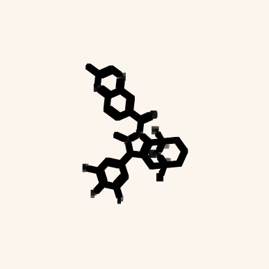 Cc1cnc2cc(C(=O)N3C4=C(C[C@H]5CCC[C@@H]4N5)C(c4cc(F)c(F)c(F)c4)N3C)ccc2n1